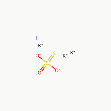 O=S([O-])([O-])=S.[I-].[K+].[K+].[K+]